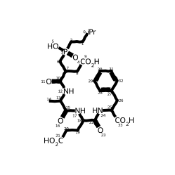 CC(C)CCP(=O)(O)CC(CC(=O)O)C(=O)NC(C)C(=O)NC(CCC(=O)O)C(=O)NC(Cc1ccccc1)C(=O)O